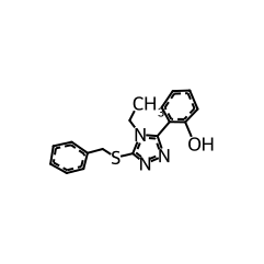 CCn1c(SCc2ccccc2)nnc1-c1ccccc1O